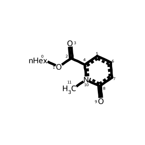 CCCCCCOC(=O)c1cccc(=O)n1C